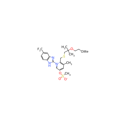 COCCOC(C)(C)CSCc1c(C)ccc[n+]1-c1nc2cc(C(F)(F)F)ccc2[nH]1.CS(=O)(=O)[O-]